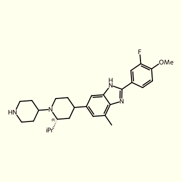 COc1ccc(-c2nc3c(C)cc(C4CCN(C5CCNCC5)[C@@H](C(C)C)C4)cc3[nH]2)cc1F